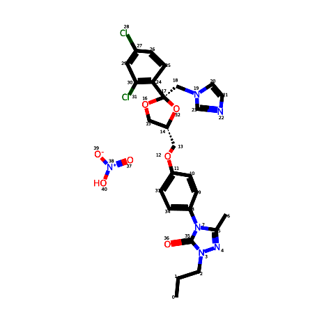 CCCn1nc(C)n(-c2ccc(OC[C@@H]3CO[C@@](Cn4ccnc4)(c4ccc(Cl)cc4Cl)O3)cc2)c1=O.O=[N+]([O-])O